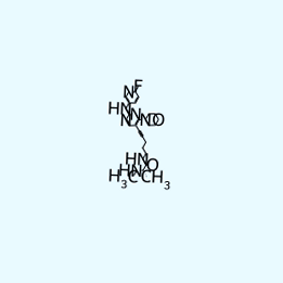 CN[C@@H](C)C(=O)NCCCC#Cc1cnc(Nc2ccc(F)nc2)nc1N1CCOCC1